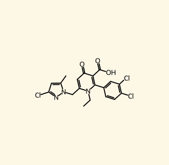 CCn1c(Cn2nc(Cl)cc2C)cc(=O)c(C(=O)O)c1-c1ccc(Cl)c(Cl)c1